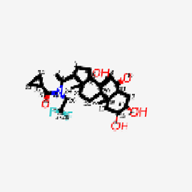 CC(C1CC[C@@]2(O)C3=CC(=O)C4CC(O)[C@@H](O)CC4(C)C3CCC12C)N(CC(F)F)C(=O)C1CC1